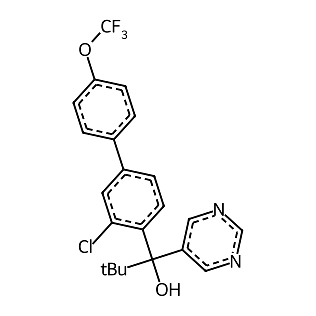 CC(C)(C)C(O)(c1cncnc1)c1ccc(-c2ccc(OC(F)(F)F)cc2)cc1Cl